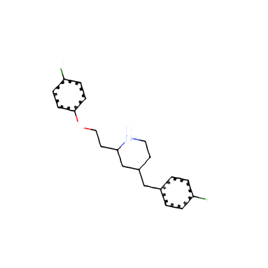 Clc1ccc(CC2CCNC(CCOc3ccc(Cl)cc3)C2)cc1